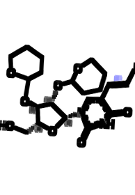 O=c1[nH]c(=O)n([C@@H]2O[C@H](CO)[C@@H](OC3CCCCO3)[C@@H]2OC2CCCCO2)cc1/C=C/I